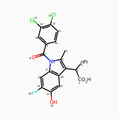 CCCC(C(=O)O)c1c(C)n(C(=O)c2ccc(Cl)c(Cl)c2)c2cc(F)c(O)cc12